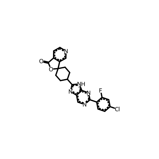 O=C1OC2(CCC(c3nc4cnc(-c5ccc(Cl)cc5F)nc4[nH]3)CC2)c2cnccc21